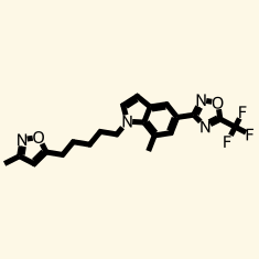 Cc1cc(CCCCCn2ccc3cc(-c4noc(C(F)(F)F)n4)cc(C)c32)on1